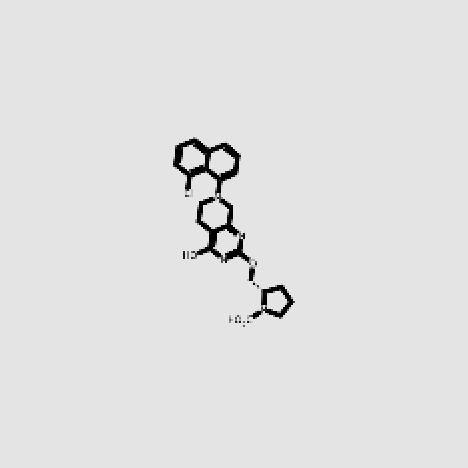 O=C(O)N1CCC[C@H]1COc1nc(O)c2c(n1)CN(c1cccc3cccc(Cl)c13)CC2